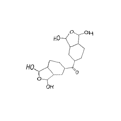 O=C(C1CCC2C(O)OC(O)C2C1)C1CCC2C(O)OC(O)C2C1